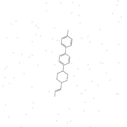 C/C=C/C1CCC(c2ccc(-c3ccc(C)cc3)cc2)CC1